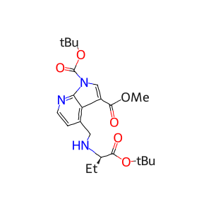 CC[C@@H](NCc1ccnc2c1c(C(=O)OC)cn2C(=O)OC(C)(C)C)C(=O)OC(C)(C)C